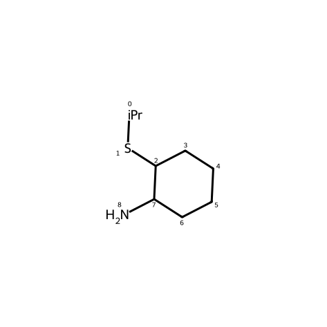 CC(C)SC1CCCCC1N